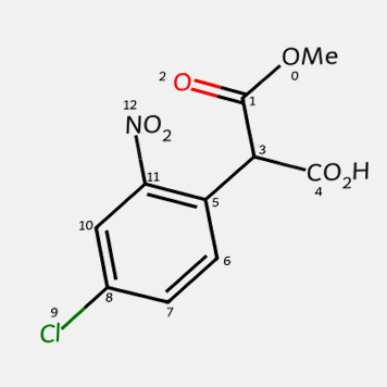 COC(=O)C(C(=O)O)c1ccc(Cl)cc1[N+](=O)[O-]